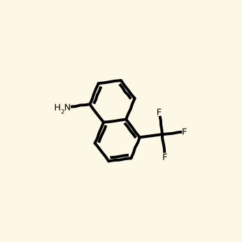 Nc1cccc2c(C(F)(F)F)cccc12